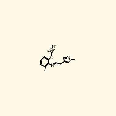 Cc1cccc(O[SiH](C)C)c1N=CCc1cnn(C)c1.[H+]